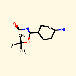 CC(C)(C)OC(NC=O)C1CCC(N)CC1